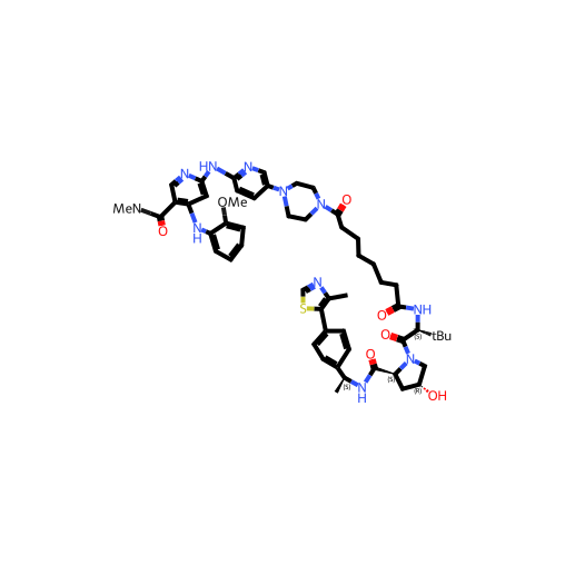 CNC(=O)c1cnc(Nc2ccc(N3CCN(C(=O)CCCCCCC(=O)N[C@H](C(=O)N4C[C@H](O)C[C@H]4C(=O)N[C@@H](C)c4ccc(-c5scnc5C)cc4)C(C)(C)C)CC3)cn2)cc1Nc1ccccc1OC